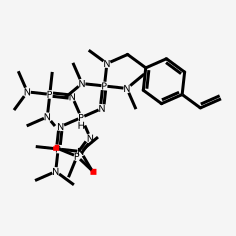 C=Cc1ccc(CN(C)P(=N[PH](N=P(C)(C)C)(N=P(C)(N(C)C)N(C)C)N=P(C)(N(C)C)N(C)C)(N(C)C)N(C)C)cc1